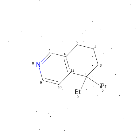 CCC1(C(C)C)CCCc2cnccc21